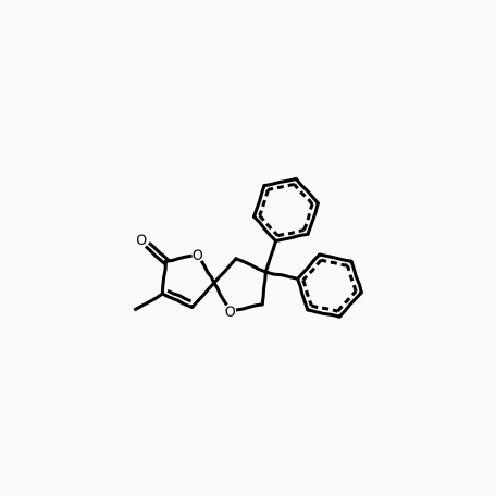 CC1=CC2(CC(c3ccccc3)(c3ccccc3)CO2)OC1=O